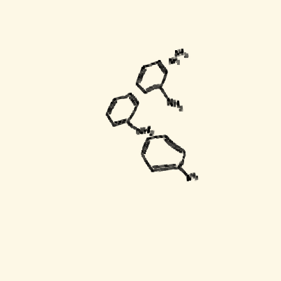 N.N.Nc1ccccc1.Nc1ccccc1.Nc1ccccc1